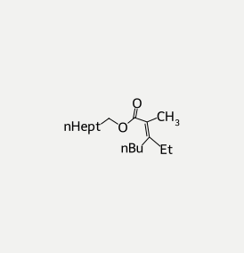 CCCCCCCCOC(=O)C(C)=C(CC)CCCC